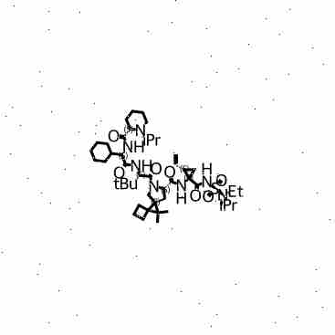 C=C[C@@H]1C[C@]1(NC(=O)[C@@H]1C[C@@]2(CN1C(=O)[C@@H](NC(=O)[C@@H](NC(=O)[C@@H]1CCCCN1C(C)C)C1CCCCC1)C(C)(C)C)C(C)(C)C21CCC1)C(=O)NS(=O)(=O)N(CC)C(C)C